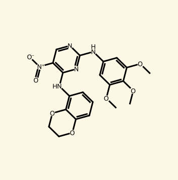 COc1cc(Nc2ncc([N+](=O)[O-])c(Nc3cccc4c3OCCO4)n2)cc(OC)c1OC